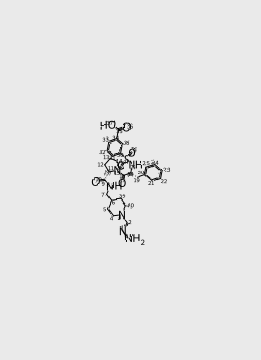 NN=CN1CCC(CNC(=O)[C@@H]2CCCN2C(=O)[C@@H](Cc2ccccc2)NS(=O)(=O)c2cccc(C(=O)O)c2)CC1